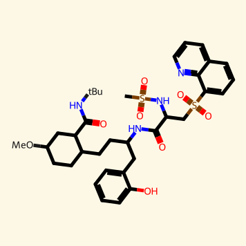 COC1CCC(CCC(Cc2ccccc2O)NC(=O)C(CS(=O)(=O)c2cccc3cccnc23)NS(C)(=O)=O)C(C(=O)NC(C)(C)C)C1